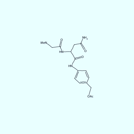 CNCC(=O)NC(CC(N)=O)C(=O)Nc1ccc(COC(C)=O)cc1